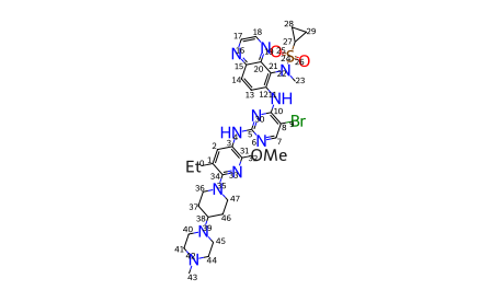 CCc1cc(Nc2ncc(Br)c(Nc3ccc4nccnc4c3N(C)S(=O)(=O)C3CC3)n2)c(OC)nc1N1CCC(N2CCN(C)CC2)CC1